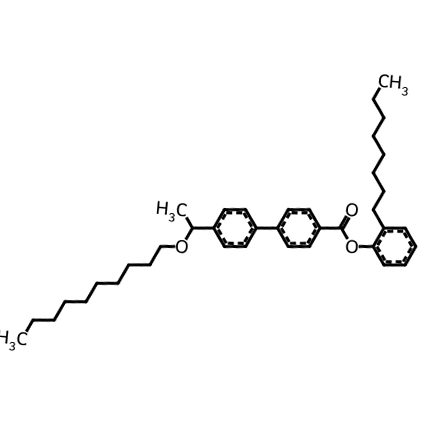 CCCCCCCCCCOC(C)c1ccc(-c2ccc(C(=O)Oc3ccccc3CCCCCCCC)cc2)cc1